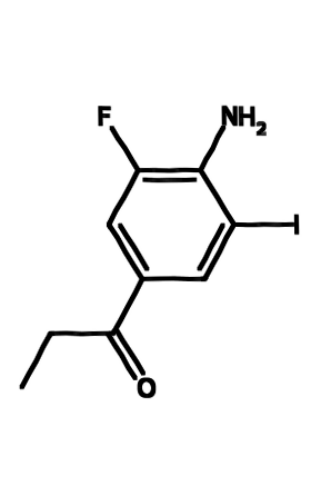 CCC(=O)c1cc(F)c(N)c(I)c1